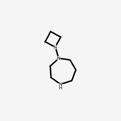 C1CN(N2CCCNCC2)C1